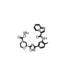 Cc1ccc(-c2noc([C@@H]3CN(C(=O)OC(C)(C)C)CCO3)n2)cc1NC(=O)c1cnc2ccccn12